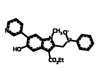 CCOC(=O)c1c(C[S+]([O-])c2ccccc2)n(C)c2cc(-c3cccnc3)c(O)cc12